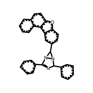 c1ccc(C2=NC(c3ccccc3)N3C(c4ccc5oc6ccc7ccccc7c6c5c4)N23)cc1